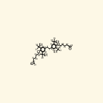 CCC(C)(C)c1cc(CCc2cc(C(C)(C)CC)c(OCCCCC3CO3)c(C(C)(C)CC)c2)cc(C(C)(C)CC)c1OCCCCC1CO1